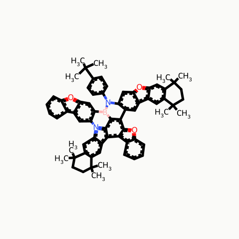 CC(C)(C)c1ccc(N2B3c4cc5oc6ccccc6c5cc4-n4c5cc6c(cc5c5c7c(oc8ccccc87)c(c3c54)-c3cc4c(cc32)oc2cc3c(cc24)C(C)(C)CCC3(C)C)C(C)(C)CCC6(C)C)cc1